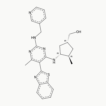 Cc1nc(NCc2cccnc2)nc(N[C@@H]2C[C@H](CO)C[C@H]2C)c1-c1nc2ccccc2s1